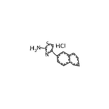 Cl.Nc1nc(-c2ccc3ccccc3c2)cs1